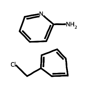 ClCc1ccccc1.Nc1ccccn1